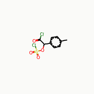 Cc1ccc(C(OS(=O)(=O)Cl)C(=O)Cl)cc1